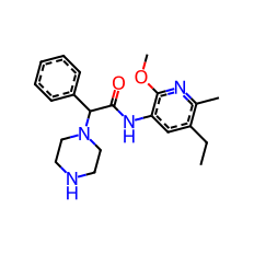 CCc1cc(NC(=O)C(c2ccccc2)N2CCNCC2)c(OC)nc1C